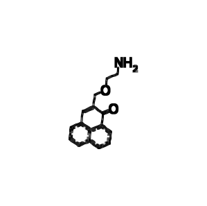 NCCOCC1=Cc2cccc3cccc(c23)C1=O